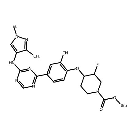 CCn1cc(Nc2ncnc(-c3ccc(OC4CCN(C(=O)OC(C)(C)C)CC4F)c(C#N)c3)n2)c(C)n1